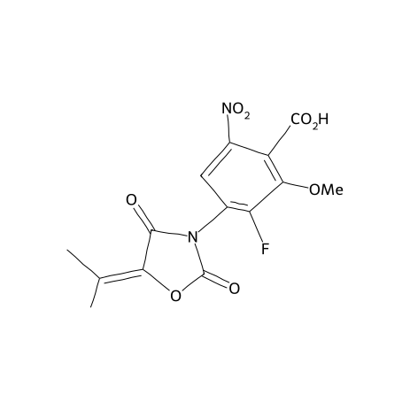 COc1c(F)c(N2C(=O)OC(=C(C)C)C2=O)cc([N+](=O)[O-])c1C(=O)O